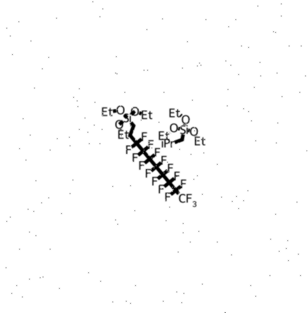 CCO[Si](CC(C)C)(OCC)OCC.CCO[Si](CCC(F)(F)C(F)(F)C(F)(F)C(F)(F)C(F)(F)C(F)(F)C(F)(F)C(F)(F)F)(OCC)OCC